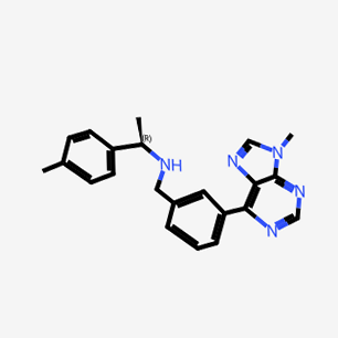 Cc1ccc([C@@H](C)NCc2cccc(-c3ncnc4c3ncn4C)c2)cc1